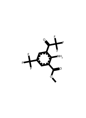 COC(=O)c1cc(C(F)(F)F)cc(C(=O)C(F)(F)F)c1N